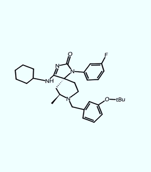 C[C@H]1C[C@]2(CCN1Cc1cccc(OC(C)(C)C)c1)C(NC1CCCCC1)=NC(=O)N2c1cccc(F)c1